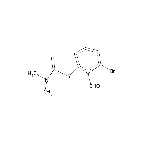 CN(C)C(=O)Sc1cccc(Br)c1C=O